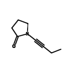 CCC#CN1CCCC1=O